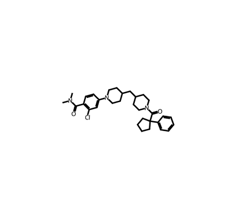 CN(C)C(=O)c1ccc(N2CCC(CC3CCN(C(=O)C4(c5ccccc5)CCCC4)CC3)CC2)cc1Cl